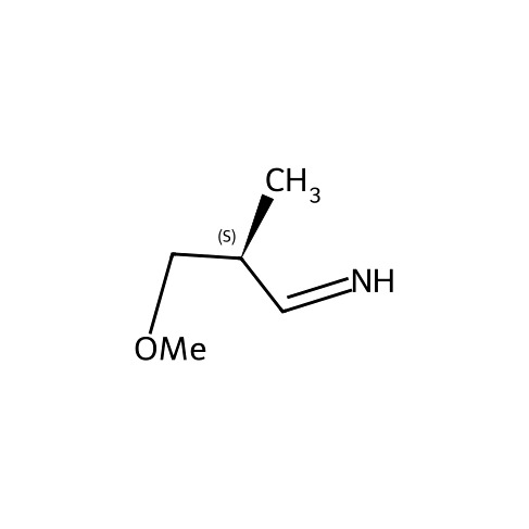 COC[C@@H](C)C=N